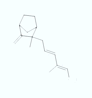 C=C1C2CCC(C2)C1(C)C/C=C/C(C)=C/C(=O)O